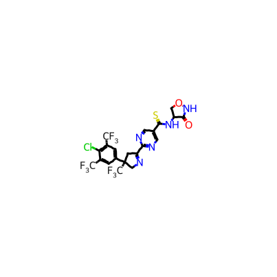 O=C1NOCC1NC(=S)c1cnc(C2=NCC(c3cc(C(F)(F)F)c(Cl)c(C(F)(F)F)c3)(C(F)(F)F)C2)nc1